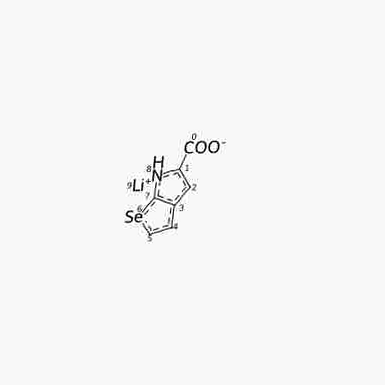 O=C([O-])c1cc2cc[se]c2[nH]1.[Li+]